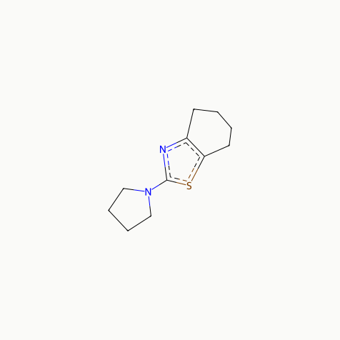 C1CCc2sc(N3CCCC3)nc2C1